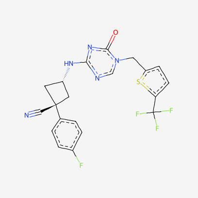 N#C[C@]1(c2ccc(F)cc2)C[C@@H](Nc2ncn(Cc3ccc(C(F)(F)F)s3)c(=O)n2)C1